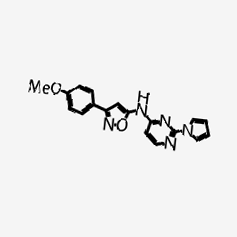 COc1ccc(-c2cc(Nc3ccnc(-n4cccc4)n3)on2)cc1